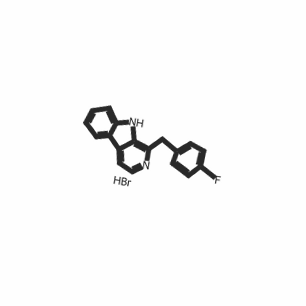 Br.Fc1ccc(Cc2nccc3c2[nH]c2ccccc23)cc1